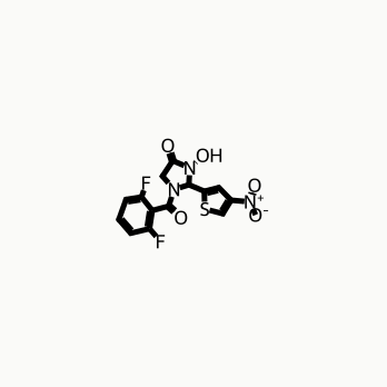 O=C1CN(C(=O)c2c(F)cccc2F)C(c2cc([N+](=O)[O-])cs2)N1O